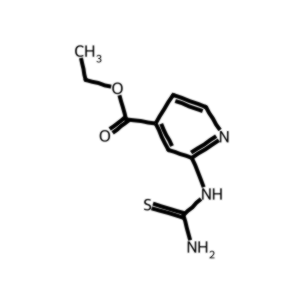 CCOC(=O)c1ccnc(NC(N)=S)c1